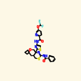 O=C(NC1=NC2(c3nc(NC(=O)c4ccc(OC(F)F)cn4)cs3)COC3(CCC3)CC2CS1)c1ccccc1